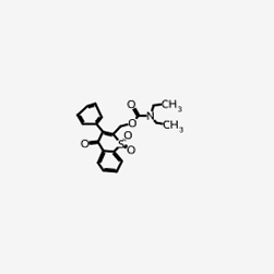 CCN(CC)C(=O)OCC1=C(c2ccccc2)C(=O)c2ccccc2S1(=O)=O